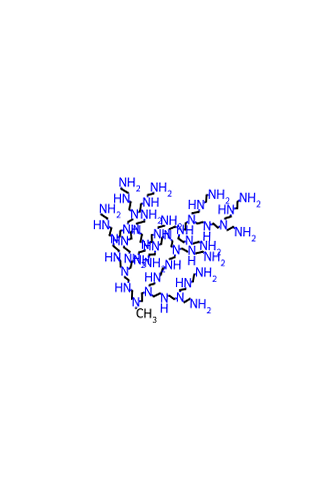 CCN(CCNCCN(CCNCCN(CCNCCN)CCNCCN(CCNCCN)CCNCCN)CCNCCN(CCNCCN)CCN(CCN)CCNCCN)CCN(CCNCCNCCN(CCNCCN)CCN(CCNCCN)CCN(CCNCCN)CCN(CCNCCN)CCNCCN(CCN)CCNCCN)CCNCCN(CCN)CCNCCN